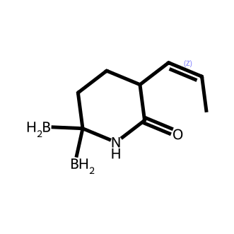 BC1(B)CCC(/C=C\C)C(=O)N1